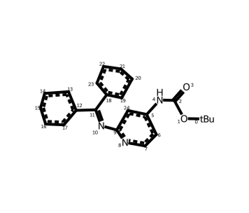 CC(C)(C)OC(=O)Nc1ccnc(N=C(c2ccccc2)c2ccccc2)c1